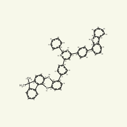 CC1(C)c2ccccc2-c2c1ccc1c2Oc2cccc(-c3ccc(-c4cc(-c5ccc(-c6cccc7c6oc6ccccc67)cc5)nc(-c5ccccc5)n4)cc3)c2O1